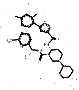 Cc1cccc([C@@H](C)NC(=O)[C@@H]2CN(C3CCCCC3)CC[C@H]2NC(=O)c2cc(-c3ccc(F)cc3F)on2)n1